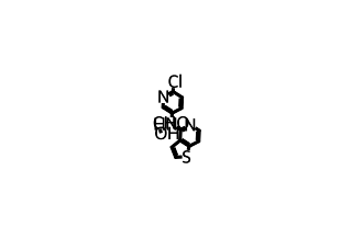 Clc1ccc(Nc2nccc3sccc23)cn1.O=CO